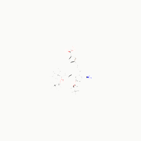 CCC1(C(CC=C[C@@H]2[C@@H](CCCc3ccc(C(=O)OC)s3)[C@H](C#N)C[C@H]2O[Si](C)(C)C(C)(C)C)O[Si](C)(C)C(C)(C)C)CCC1